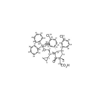 CC(C)(C)[Si](OC[C@H](C1CC1)N1C(=O)[C@@](C)(CC(=O)O)CC(c2cccc(Cl)c2)[C@H]1c1ccc(Cl)cc1)(c1ccccc1)c1ccccc1